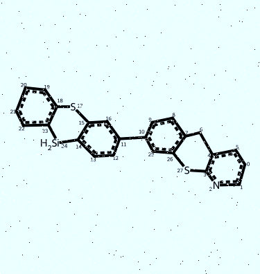 c1cnc2c(c1)Cc1ccc(-c3ccc4c(c3)Sc3ccccc3[SiH2]4)cc1S2